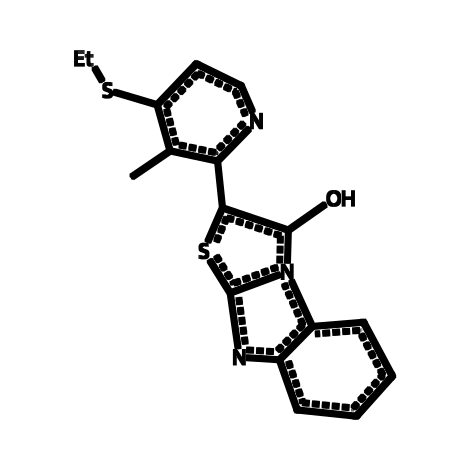 CCSc1ccnc(-c2sc3nc4ccccc4n3c2O)c1C